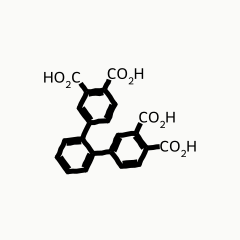 O=C(O)c1ccc(-c2ccccc2-c2ccc(C(=O)O)c(C(=O)O)c2)cc1C(=O)O